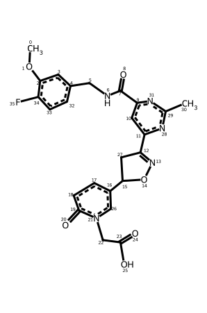 COc1cc(CNC(=O)c2cc(C3=NOC(c4ccc(=O)n(CC(=O)O)c4)C3)nc(C)n2)ccc1F